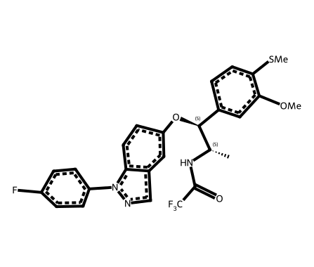 COc1cc([C@H](Oc2ccc3c(cnn3-c3ccc(F)cc3)c2)[C@H](C)NC(=O)C(F)(F)F)ccc1SC